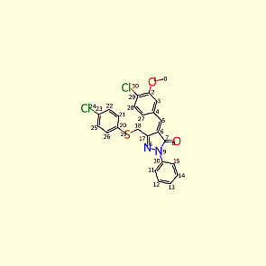 COc1cc(/C=C2/C(=O)N(c3ccccc3)N=C2CSc2ccc(Cl)cc2)ccc1Cl